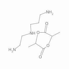 CC1OC(=O)C(C)OC1=O.NCCCNCCN